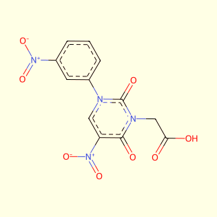 O=C(O)Cn1c(=O)c([N+](=O)[O-])cn(-c2cccc([N+](=O)[O-])c2)c1=O